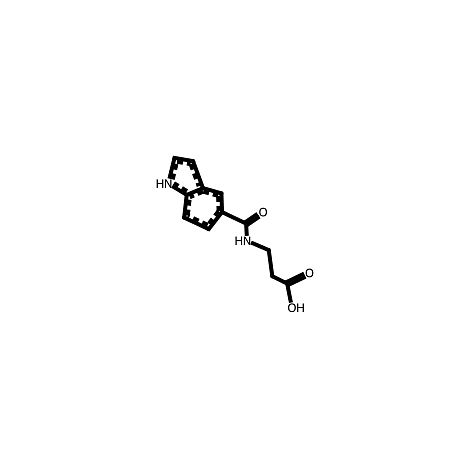 O=C(O)CCNC(=O)c1ccc2[nH]ccc2c1